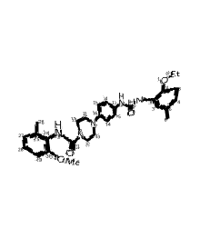 CCOc1ccc(C)cc1NC(=O)Nc1ccc(N2CCN(C(=O)Nc3c(C)cccc3OC)CC2)cc1